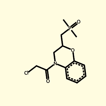 CP(C)(=O)CC1CN(C(=O)CCl)c2ccccc2O1